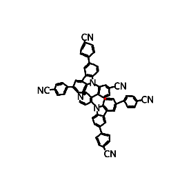 N#Cc1ccc(-c2ccc3c(c2)c2cc(-c4ccc(C#N)cc4)ccc2n3-c2ccncc2-c2ccc(C#N)cc2-n2c3ccc(-c4ccc(C#N)cc4)cc3c3cc(-c4ccc(C#N)cc4)ccc32)cc1